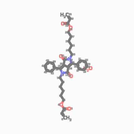 C=CC(=O)OCCCCCCN1C(=O)C2=C(c3ccccc3)N(CCCCCCOC(=O)C=C)C(=O)C2=C1c1ccccc1.O